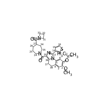 COc1cc2c(cc1OC(C)C)-n1c(-c3ccsc3)nc(C(=O)N3CCCC(C(=O)N4CCC4)CC3)c1CC2